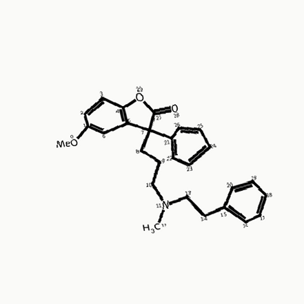 COc1ccc2c(c1)C(CCCN(C)CCc1ccccc1)(c1ccccc1)C(=O)O2